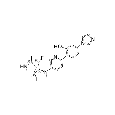 CN(c1ccc(-c2ccc(-n3ccnc3)cc2O)nn1)[C@H]1[C@@H]2CN[C@@](C)(C2)[C@@H]1F